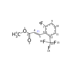 COC(=O)/C=C/c1c(F)cccc1C(F)(F)F